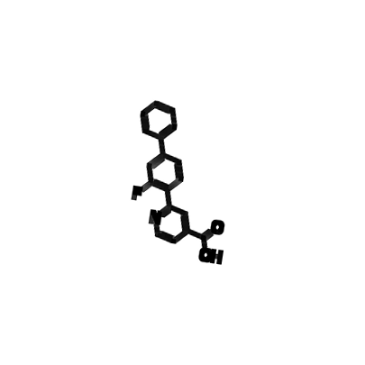 O=C(O)c1ccnc(-c2ccc(-c3ccccc3)cc2F)c1